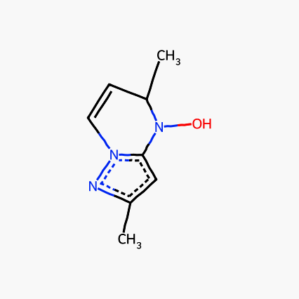 Cc1cc2n(n1)C=CC(C)N2O